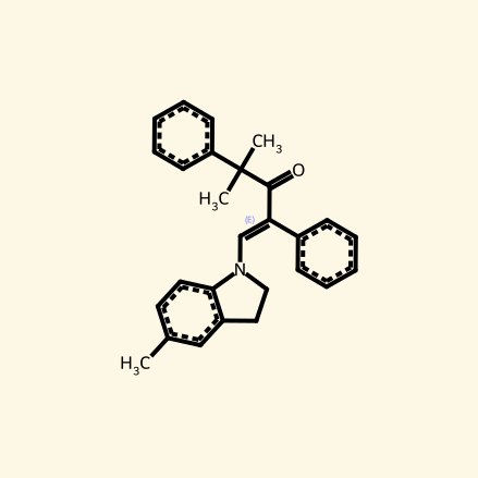 Cc1ccc2c(c1)CCN2/C=C(/C(=O)C(C)(C)c1ccccc1)c1ccccc1